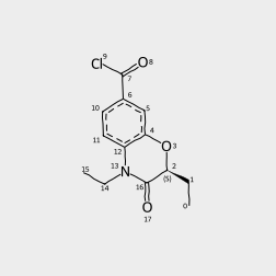 CC[C@@H]1Oc2cc(C(=O)Cl)ccc2N(CC)C1=O